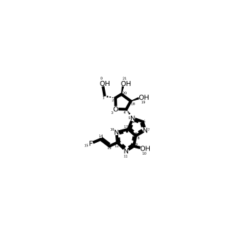 OC[C@H]1O[C@@H](n2cnc3c(O)nc(C=CF)nc32)[C@H](O)[C@@H]1O